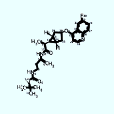 C=C(CCNC(=O)OC(C)(C)C)NC(=O)C(C)[C@H]1[C@@H]2C[C@@H](Oc3ccnc4ccc(F)cc34)C[C@@H]21